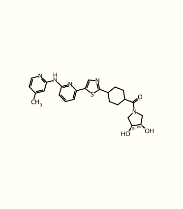 Cc1ccnc(Nc2cccc(-c3cnc(C4CCC(C(=O)N5C[C@@H](O)[C@@H](O)C5)CC4)s3)n2)c1